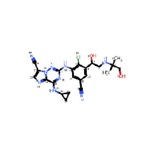 CC(C)(CO)NCC(O)c1cc(C#N)cc(Nc2nc(NC3CC3)c3ncc(C#N)n3n2)c1Cl